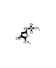 Cc1sc(NS(C)(=O)=O)cc1Cl